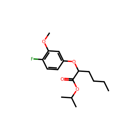 CCCCC(Oc1ccc(F)c(OC)c1)C(=O)OC(C)C